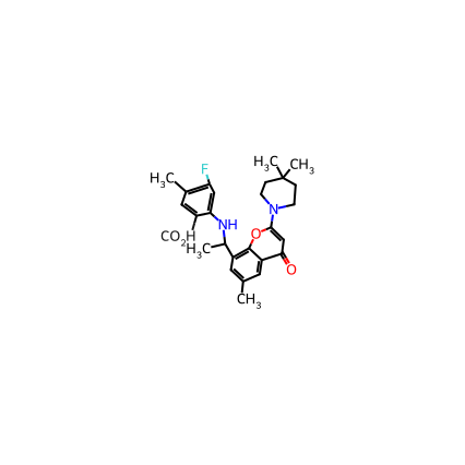 Cc1cc(C(C)Nc2cc(F)c(C)cc2C(=O)O)c2oc(N3CCC(C)(C)CC3)cc(=O)c2c1